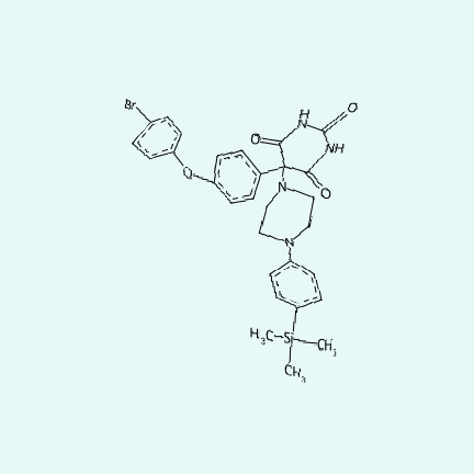 C[Si](C)(C)c1ccc(N2CCN(C3(c4ccc(Oc5ccc(Br)cc5)cc4)C(=O)NC(=O)NC3=O)CC2)cc1